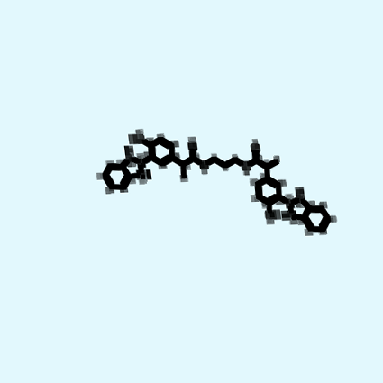 CC(C(=O)OCCCOC(=O)C(C)c1ccc(O)c(N2Nc3ccccc3N2)c1)c1ccc(O)c(N2Nc3ccccc3N2)c1